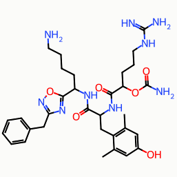 Cc1cc(O)cc(C)c1CC(NC(=O)C(CCCNC(=N)N)OC(N)=O)C(=O)NC(CCCCN)c1nc(Cc2ccccc2)no1